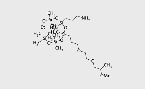 CCO[Si](C)(C)O[Si](C)(CCCN)O[Si](C)(CCCOCCOCC(C)OC)O[Si](C)(C)O[Si](C)(C)C